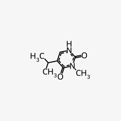 CC(C)c1c[nH]c(=O)n(C)c1=O